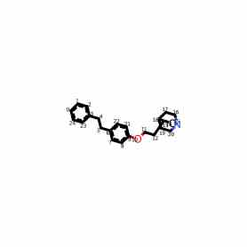 c1ccc(CCc2ccc(OCCC3CN4CCC3CC4)cc2)cc1